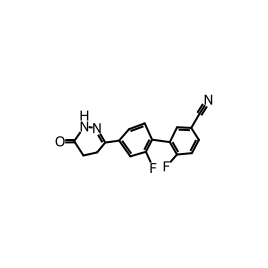 N#Cc1ccc(F)c(-c2ccc(C3=NNC(=O)CC3)cc2F)c1